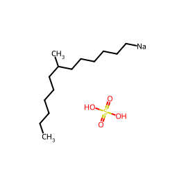 CCCCCCC(C)CCCCC[CH2][Na].O=S(=O)(O)O